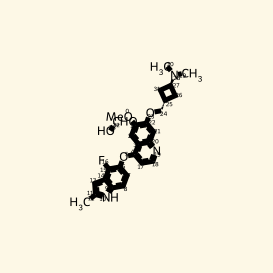 COc1cc2c(Oc3ccc4[nH]c(C)cc4c3F)ccnc2cc1OC[C@H]1C[C@H](N(C)C)C1.O=CO